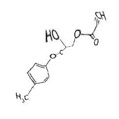 C#CC(=O)OCC(O)COc1ccc(C)cc1